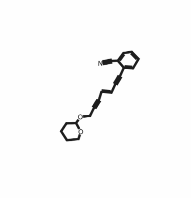 N#Cc1ccccc1C#CC=CC#CCOC1CCCCO1